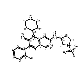 Cc1ccccc1-c1cc2cnc(N[C@H]3CCN(S(C)(=O)=O)C3)nc2n(C2CCOCC2)c1=O